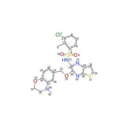 Cc1c(Cl)cccc1S(=O)(=O)Nc1nc2ccsc2nc1OCc1ccc2c(c1)N(C)CCO2